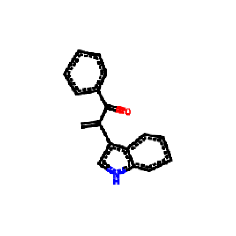 C=C(C(=O)c1ccccc1)c1c[nH]c2ccccc12